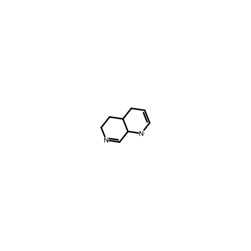 C1=C[N]C2C=NCCC2C1